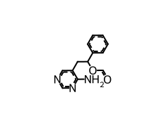 Nc1ncncc1CC(OC=O)c1ccccc1